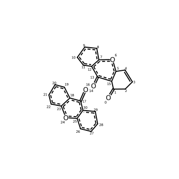 O=C1CC=Cc2oc3ccccc3c(=O)c21.O=c1c2ccccc2oc2ccccc12